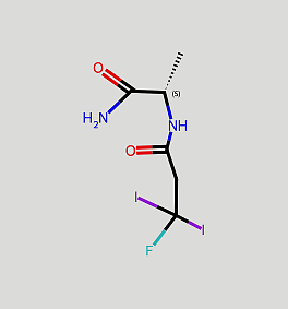 C[C@H](NC(=O)CC(F)(I)I)C(N)=O